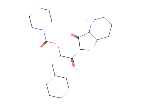 O=C(C(CC1CCCCC1)OC(=O)N1CCOCC1)C1OC2CCCNC2C1=O